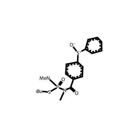 CCC(C)SP(=O)(NC)N(C)C(=O)c1ccc([S+]([O-])c2ccccc2)cc1